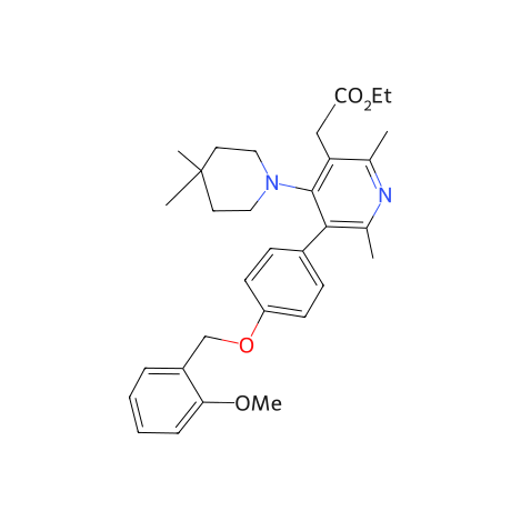 CCOC(=O)Cc1c(C)nc(C)c(-c2ccc(OCc3ccccc3OC)cc2)c1N1CCC(C)(C)CC1